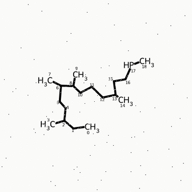 CCC(C)CCC(C)C(C)CCCC(C)CCPC